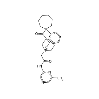 Cc1cncc(NC(=O)C[N+]23CCC(CC2)C(C(=O)C2(c4ccccc4)CCCCCC2)C3)n1